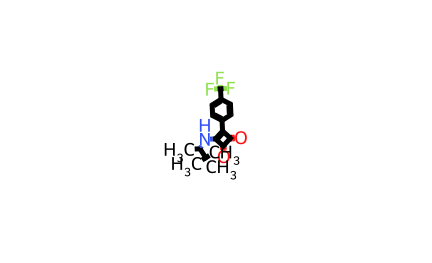 CC(Nc1c(-c2ccc(C(F)(F)F)cc2)c(=O)c1=O)C(C)(C)C